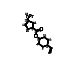 C=CC1CCC(OC(=O)C2CCC(CCC)C2)CC1